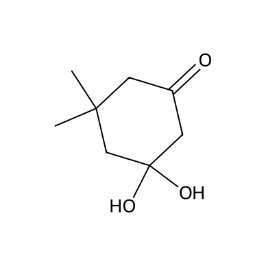 CC1(C)CC(=O)CC(O)(O)C1